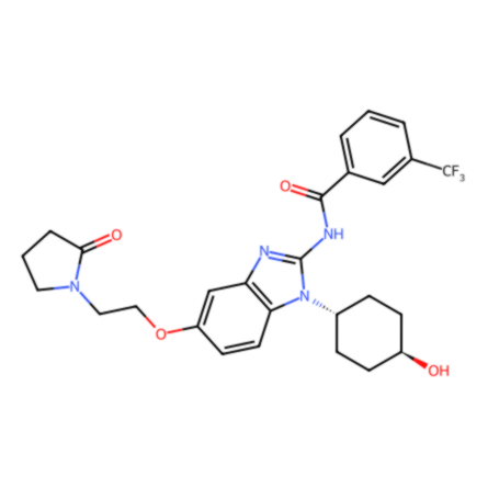 O=C(Nc1nc2cc(OCCN3CCCC3=O)ccc2n1[C@H]1CC[C@H](O)CC1)c1cccc(C(F)(F)F)c1